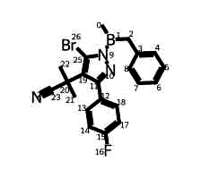 CB(Cc1ccccc1)n1nc(-c2ccc(F)cc2)c(C(C)(C)C#N)c1Br